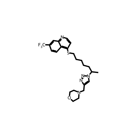 CC(CCCCCSc1ccnc2cc(C(F)(F)F)ccc12)n1cc(CN2CCOCC2)nn1